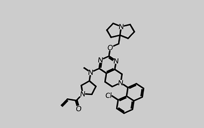 C=CC(=O)N1CCC(N(C)c2nc(OCC34CCCN3CCC4)nc3c2CCN(c2cccc4cccc(Cl)c24)C3)C1